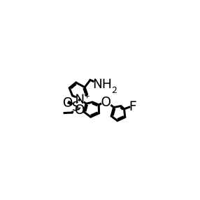 CCS(=O)(=O)[N+]1(c2cccc(Oc3cccc(F)c3)c2)C=C(CN)C=CC1